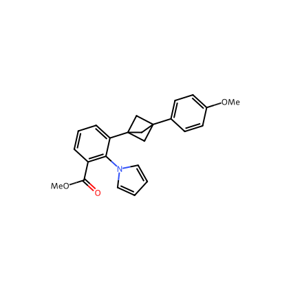 COC(=O)c1cccc(C23CC(c4ccc(OC)cc4)(C2)C3)c1-n1cccc1